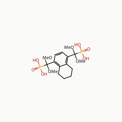 COC(OC)(c1ccc(C(OC)(OC)P(=O)(O)O)c2c1CCCC2)P(=O)(O)O